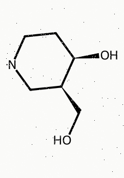 OC[C@H]1C[N]CC[C@H]1O